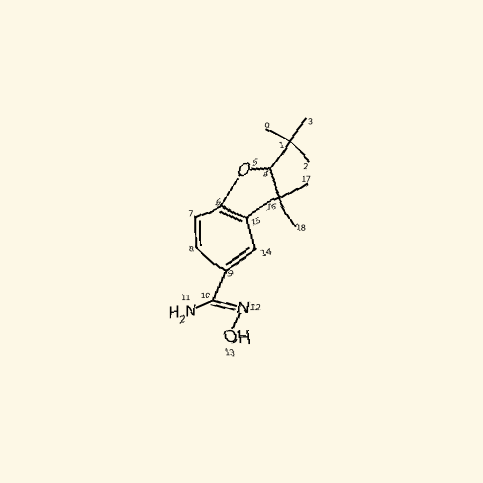 CC(C)(C)C1Oc2ccc(C(N)=NO)cc2C1(C)C